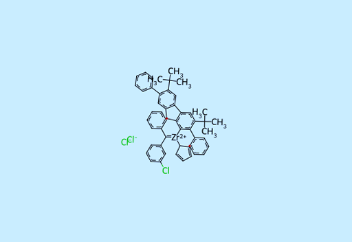 CC(C)(C)c1cc2c(cc1-c1ccccc1)Cc1c-2cc(C(C)(C)C)c(-c2ccccc2)[c]1[Zr+2](=[C](c1ccccc1)c1cccc(Cl)c1)[CH]1C=CC=C1.[Cl-].[Cl-]